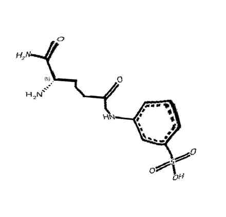 NC(=O)[C@@H](N)CCC(=O)Nc1cccc(S(=O)(=O)O)c1